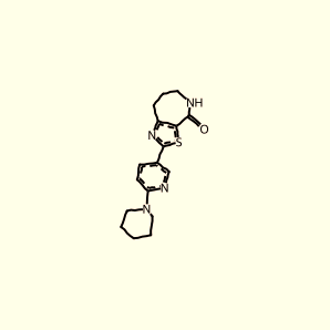 O=C1NCCCc2nc(-c3ccc(N4CCCCC4)nc3)sc21